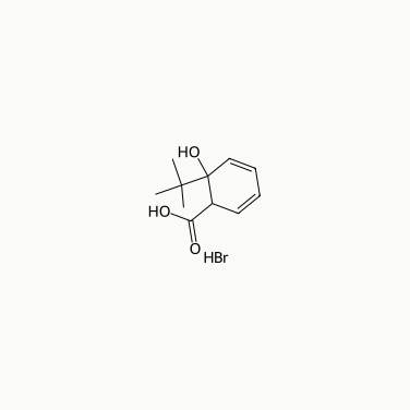 Br.CC(C)(C)C1(O)C=CC=CC1C(=O)O